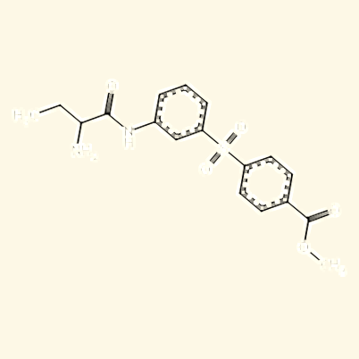 CCC(N)C(=O)Nc1cccc(S(=O)(=O)c2ccc(C(=O)OC)cc2)c1